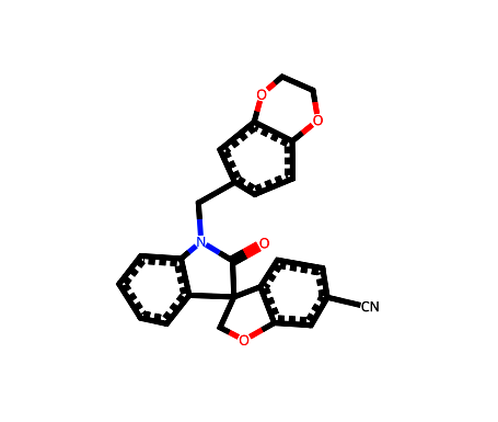 N#Cc1ccc2c(c1)OCC21C(=O)N(Cc2ccc3c(c2)OCCO3)c2ccccc21